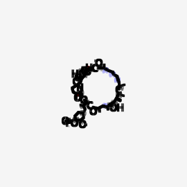 C=C1[C@H](C)C[C@H](C)/C=C/C=C/C=C(\C)[C@@H](OC)C[C@@H]2CC[C@@H](C)[C@@](O)(O2)C(=O)C(=O)N2CCCC[C@H]2C(=O)O[C@H]([C@H](C)C[C@@H]2CC[C@@H](OP(C)(C)=O)[C@H](OC)C2)CC(=O)[C@H](C)/C=C(\C)[C@@H](O)[C@H]1C